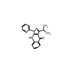 CC(C)c1nn(-c2ccccn2)c2[nH]c3ccccc3c(=O)c12